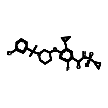 CC(C)(c1cccc(Cl)c1)N1CCCC(Oc2cc(F)c(C(=O)NS(=O)(=O)C3CC3)cc2C2CC2)C1